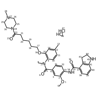 COc1cc(C(=O)N(C)c2ccc(C)cc2OCCCCCC(=O)N2CCN(C)CC2)ccc1NC(=O)c1cccc2c1CCN2.Cl.Cl